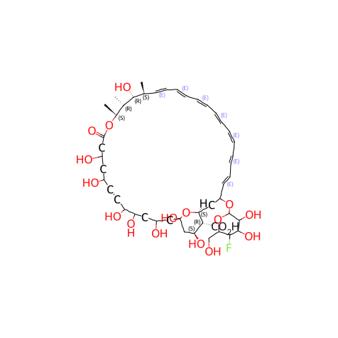 C[C@@H]1[C@H](O)[C@@H](C)/C=C/C=C/C=C/C=C/C=C/C=C/C=C/C(OC2OC(CO)C(F)C(O)C2O)C[C@@H]2OC(O)(CC(O)CC(O)C(O)CCC(O)CC(O)CC(=O)O[C@H]1C)C[C@H](O)[C@H]2C(=O)O